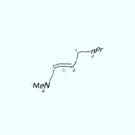 CCCC/C=C/[N]C